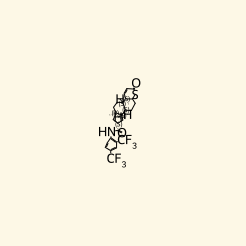 C[C@]12CC[C@H]3[C@@H](CCC4SC(=O)C=C[C@@]43C)[C@@H]1C[C@H](C(=O)Nc1ccc(C(F)(F)F)cc1C(F)(F)F)C2